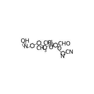 Cc1c(COc2cc(OCc3cncc(C#N)c3)c(C=O)cc2Cl)cccc1-c1cccc(-c2ccc(CN3CC[C@H](O)C3)cc2)c1C